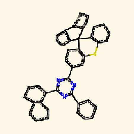 c1ccc(-c2nc(-c3ccc4c(c3)Sc3ccccc3C43c4ccccc4-c4ccccc43)nc(-c3cccc4ccccc34)n2)cc1